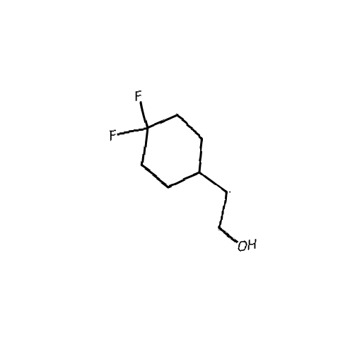 OC[CH]C1CCC(F)(F)CC1